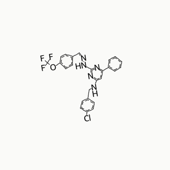 FC(F)(F)Oc1ccc(/C=N\Nc2nc(NCc3ccc(Cl)cc3)cc(-c3ccccc3)n2)cc1